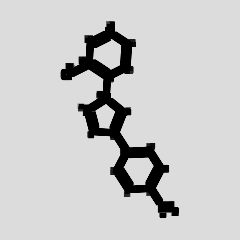 Nc1ccc(-c2cnn(-c3ccncc3Cl)c2)cc1